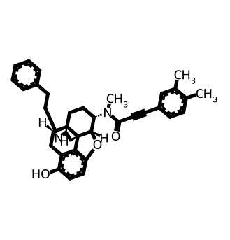 Cc1ccc(C#CC(=O)N(C)[C@H]2CC[C@H]3[C@H]4Cc5c(O)ccc6c5[C@@]3(CCN4CCc3ccccc3)[C@H]2O6)cc1C